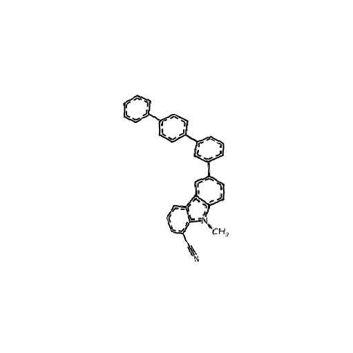 Cn1c2ccc(-c3cccc(-c4ccc(-c5ccccc5)cc4)c3)cc2c2cccc(C#N)c21